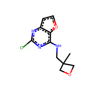 CC1(CNc2nc(Cl)nc3ccoc23)COC1